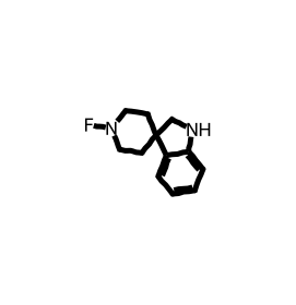 FN1CCC2(CC1)CNc1ccccc12